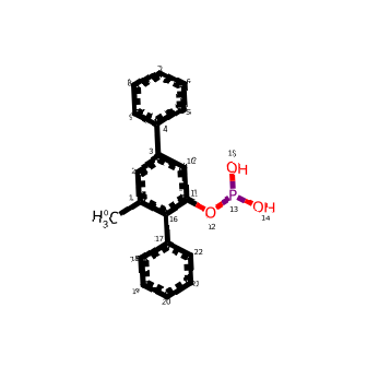 Cc1cc(-c2ccccc2)cc(OP(O)O)c1-c1ccccc1